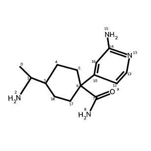 CC(N)C1CCC(C(N)=O)(c2ccnc(N)c2)CC1